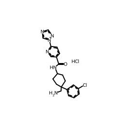 Cl.NCC1(c2cccc(Cl)c2)CCC(NC(=O)c2ccc(-n3cncn3)nc2)CC1